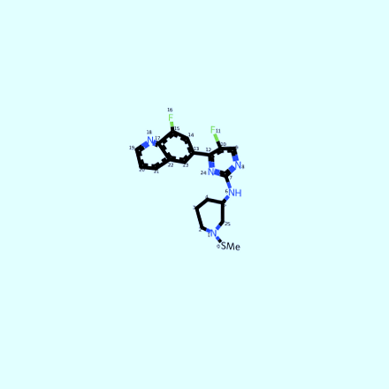 CSN1CCCC(Nc2ncc(F)c(-c3cc(F)c4ncccc4c3)n2)C1